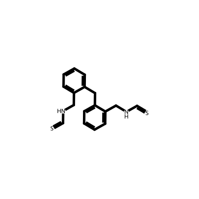 S=CNCc1ccccc1Cc1ccccc1CNC=S